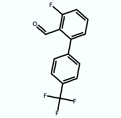 O=Cc1c(F)cccc1-c1ccc(C(F)(F)F)cc1